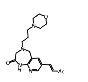 CC(=O)/C=C/c1cnc2c(c1)CN(CCCN1CCOCC1)CC(=O)N2